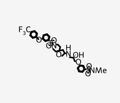 CNS(=O)(=O)c1cccc(OC[C@@H](O)CNC2COC3(CCN(S(=O)(=O)c4cccc(Oc5ccc(C(F)(F)F)cc5)c4)CC3)C2)c1